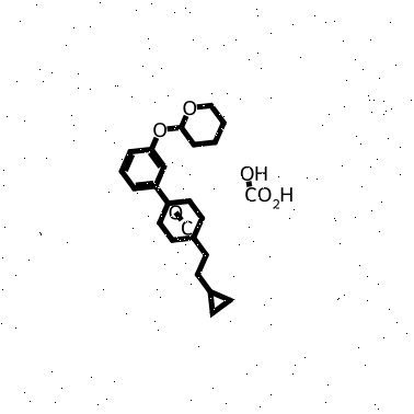 O=C(O)O.c1cc(OC2CCCCO2)cc(C23CCC(CCC4CC4)(CC2)CO3)c1